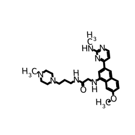 CNc1nccc(-c2cc(NCC(=O)NCCCN3CCN(C)CC3)c3cc(OC)ccc3c2)n1